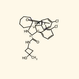 CC1(O)CC(NC(=O)[C@@H]2NC3(CCCCCC3)[C@@]3(C(=O)Nc4cc(Cl)ccc43)[C@H]2c2cccc(Cl)c2F)C1